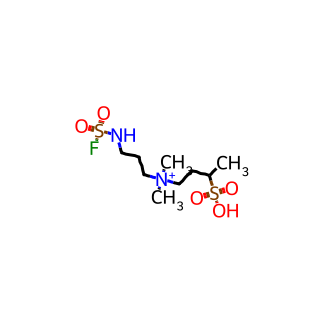 CC(CC[N+](C)(C)CCCNS(=O)(=O)F)S(=O)(=O)O